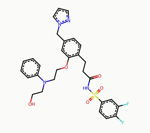 O=C(CCc1ccc(Cn2cccn2)cc1OCCN(CCO)c1ccccc1)NS(=O)(=O)c1ccc(F)c(F)c1